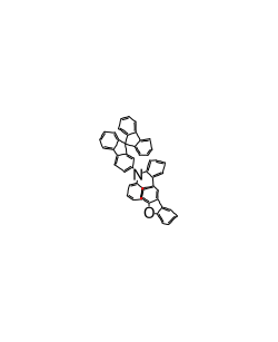 c1ccc(N(c2ccc3c(c2)C2(c4ccccc4-c4ccccc42)c2ccccc2-3)c2ccccc2-c2ccc3oc4ccccc4c3c2)cc1